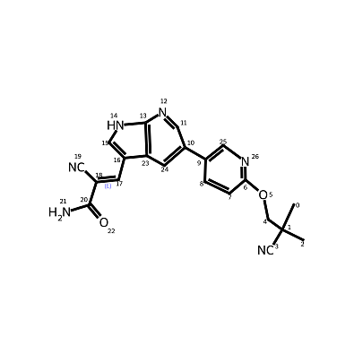 CC(C)(C#N)COc1ccc(-c2cnc3[nH]cc(/C=C(\C#N)C(N)=O)c3c2)cn1